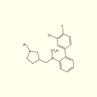 CC(C)N1CCC(CN(C(=O)O)c2ccccc2-c2ccc(F)c(Cl)c2)C1